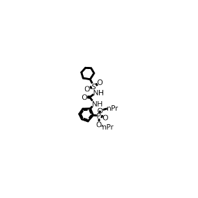 CCCOP(=O)(OCCC)c1ccccc1NC(=O)NS(=O)(=O)C1CCCCC1